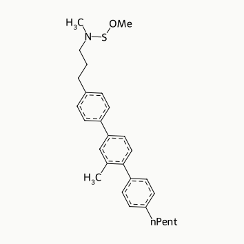 CCCCCc1ccc(-c2ccc(-c3ccc(CCCN(C)SOC)cc3)cc2C)cc1